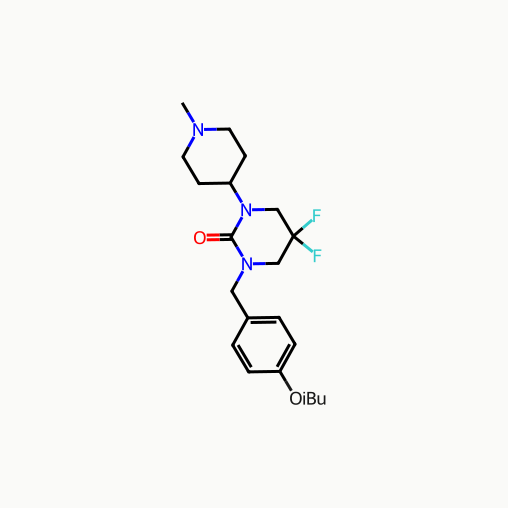 CC(C)COc1ccc(CN2CC(F)(F)CN(C3CCN(C)CC3)C2=O)cc1